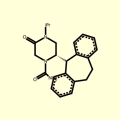 CC(C)N1C[C@H](C2c3ccccc3CCc3ccccc32)N(C(N)=O)CC1=O